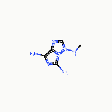 CNn1cnc2c(N)nc(N)n21